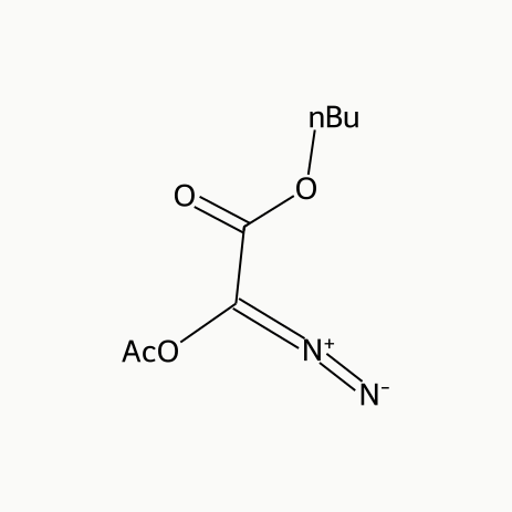 CCCCOC(=O)C(=[N+]=[N-])OC(C)=O